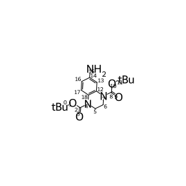 CC(C)(C)OC(=O)N1CCN(C(=O)OC(C)(C)C)c2cc(N)ccc21